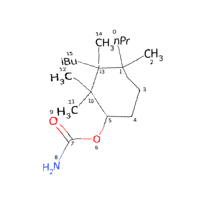 CCCC1(C)CCC(OC(N)=O)C(C)(C)C1(C)C(C)CC